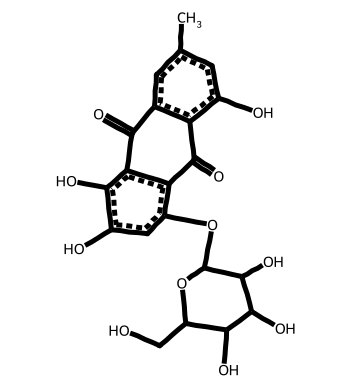 Cc1cc(O)c2c(c1)C(=O)c1c(O)c(O)cc(OC3OC(CO)C(O)C(O)C3O)c1C2=O